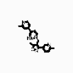 Cc1ccc(-c2noc(C)c2CN2C=CC(c3ccnc(C)c3)=CN2)cn1